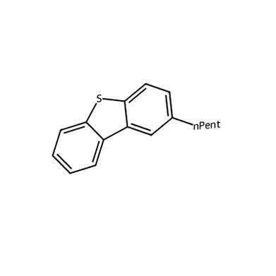 CCCCCc1ccc2sc3ccccc3c2c1